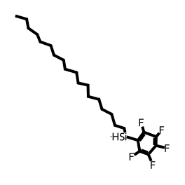 CCCCCCCCCCCCCCCCCC[SiH]c1c(F)c(F)c(F)c(F)c1F